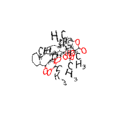 CC(=O)O[C@@H]1C2[C@H]3C(CC[C@]2(C)C2[C@H](C)C=C4OC(=O)[C@@](C)(O)[C@]4(C)[C@@H]21)[C@@]1(C)CCCCC1C(=O)[C@@H]3OC(C)=O